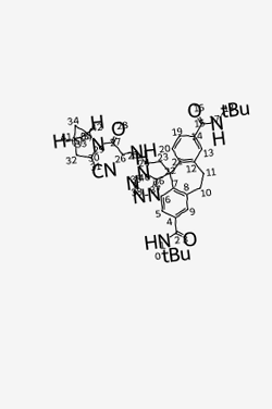 CC(C)(C)NC(=O)c1ccc2c(c1)CCc1cc(C(=O)NC(C)(C)C)ccc1C2(CCNCC(=O)N1C(C#N)C[C@@H]2C[C@@H]21)c1nnn[nH]1